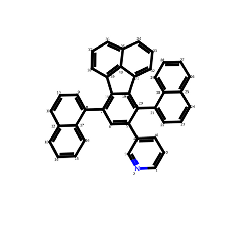 c1cncc(-c2cc(-c3cccc4ccccc34)c3c(c2-c2cccc4ccccc24)-c2cccc4cccc-3c24)c1